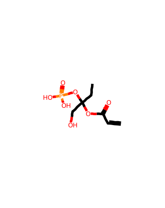 C=CC(=O)OC(CC)(CO)OP(=O)(O)O